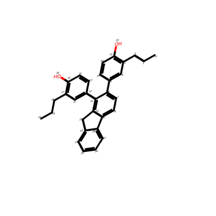 CCCc1cc(-c2ccc3c(c2-c2ccc(O)c(CCC)c2)Cc2ccccc2-3)ccc1O